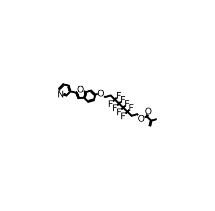 C=C(C)C(=O)OCCC(F)(F)C(F)(F)C(F)(F)C(F)(F)CCOc1ccc2cc(-c3cccnc3)oc2c1